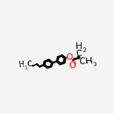 C=C(C)C(=O)Oc1ccc(-c2ccc(CCCC)cc2)cc1